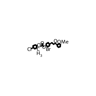 COc1ccccc1C(=O)C=Cc1ccc(OC(=O)COc2ccc(Cl)cc2C)c(Br)c1